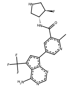 Cc1ncc(-c2cc(C(F)(F)F)c3c(N)ncnn23)cc1C(=O)N[C@@H]1CNC[C@H]1F